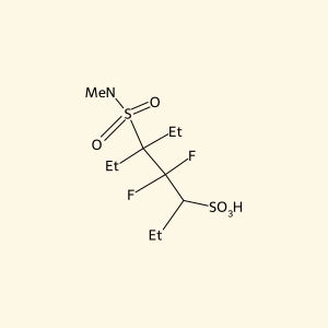 CCC(C(F)(F)C(CC)(CC)S(=O)(=O)NC)S(=O)(=O)O